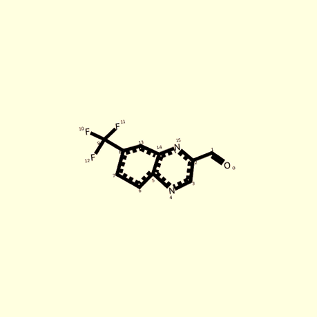 O=Cc1cnc2ccc(C(F)(F)F)cc2n1